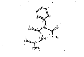 CC(=O)N(C(=N)NC(=N)N)c1ccccc1